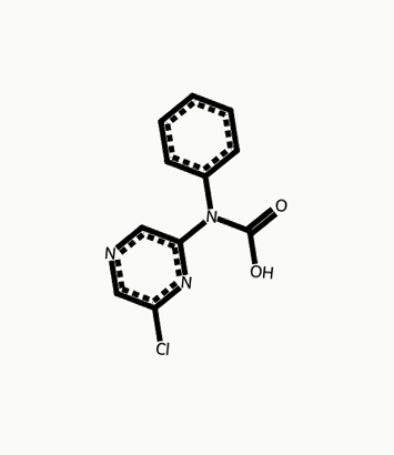 O=C(O)N(c1ccccc1)c1cncc(Cl)n1